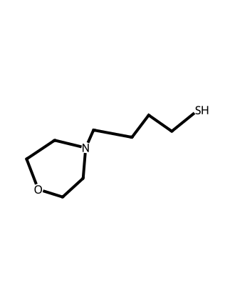 SCCCCN1CCOCC1